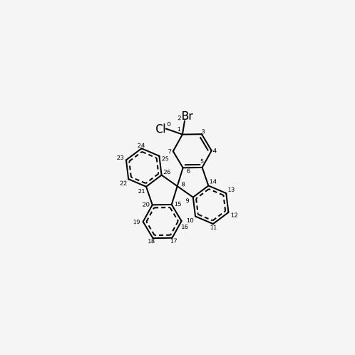 ClC1(Br)C=CC2=C(C1)C1(c3ccccc32)c2ccccc2-c2ccccc21